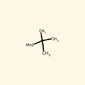 CSC(C)(C)C